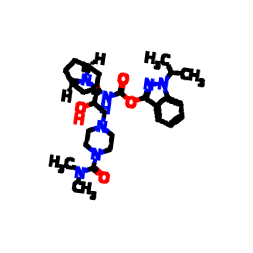 CC(C)n1nc(OC(=O)N[C@@H]2C[C@H]3CC[C@@H](C2)N3CC(O)CN2CCN(C(=O)N(C)C)CC2)c2ccccc21